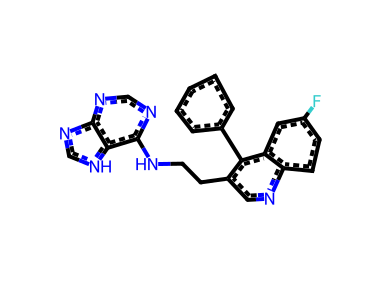 Fc1ccc2ncc(CCNc3ncnc4nc[nH]c34)c(-c3ccccc3)c2c1